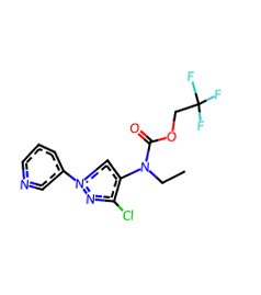 CCN(C(=O)OCC(F)(F)F)c1cn(-c2cccnc2)nc1Cl